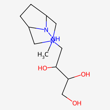 CNN1C2CCC1CN(CC(O)C(O)CO)C2